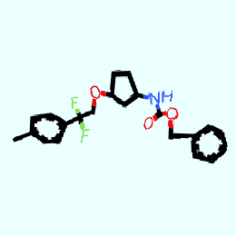 Cc1ccc(C(F)(F)COC2CCC(NC(=O)OCc3ccccc3)C2)cc1